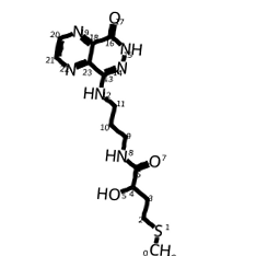 CSCCC(O)C(=O)NCCCNc1n[nH]c(=O)c2nccnc12